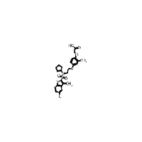 Cc1cc(SCCN(C2CCCC2)S(=O)(=O)c2sc3ccc(Cl)cc3c2C)ccc1OCC(=O)O